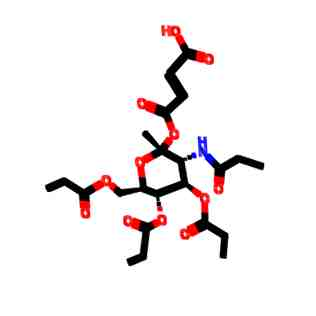 CCC(=O)N[C@@H]1[C@@H](OC(=O)CC)[C@H](OC(=O)CC)[C@@H](COC(=O)CC)O[C@]1(C)OC(=O)/C=C/C(=O)O